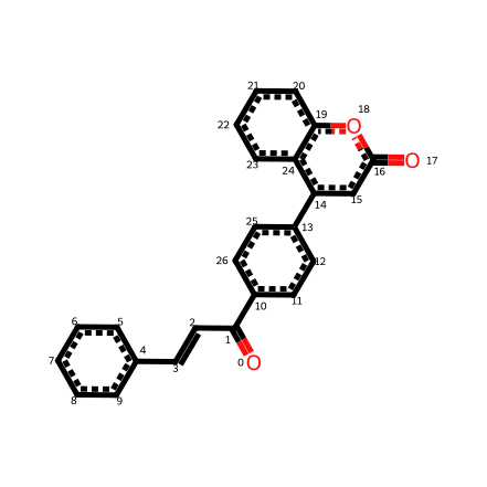 O=C(C=Cc1ccccc1)c1ccc(-c2cc(=O)oc3ccccc23)cc1